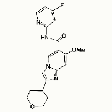 COc1cc2nc(C3CCOCC3)cn2cc1C(=O)Nc1cc(F)ccn1